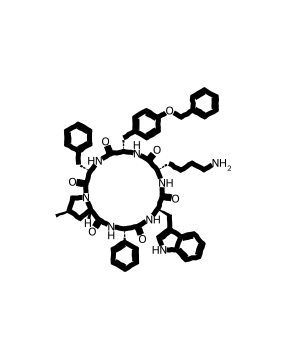 C[C@@H]1C[C@H]2C(=O)N[C@@H](c3ccccc3)C(=O)N[C@H](Cc3c[nH]c4ccccc34)C(=O)N[C@@H](CCCCN)C(=O)N[C@@H](Cc3ccc(OCc4ccccc4)cc3)C(=O)N[C@@H](Cc3ccccc3)C(=O)N2C1